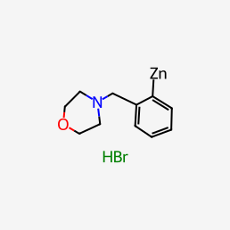 Br.[Zn][c]1ccccc1CN1CCOCC1